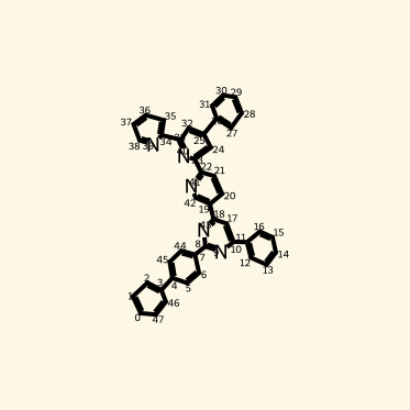 c1ccc(-c2ccc(-c3nc(-c4ccccc4)cc(-c4ccc(-c5cc(-c6ccccc6)cc(-c6ccccn6)n5)nc4)n3)cc2)cc1